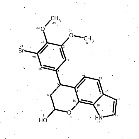 COc1cc(C2CC(O)Oc3c2ccc2cc[nH]c32)cc(Br)c1OC